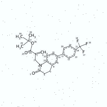 C=C(CN1C(=O)CCc2cc(-c3ccc(C(F)(F)F)cc3)ccc21)C(=O)OC(C)(C)C